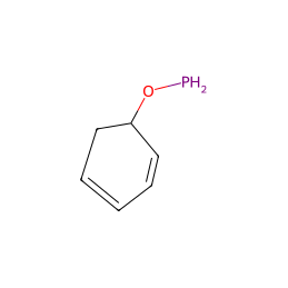 POC1C=CC=CC1